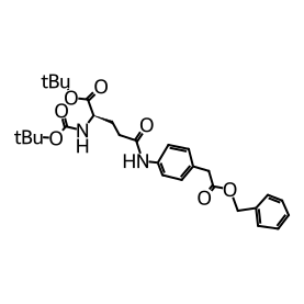 CC(C)(C)OC(=O)N[C@H](CCC(=O)Nc1ccc(CC(=O)OCc2ccccc2)cc1)C(=O)OC(C)(C)C